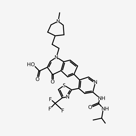 CC(C)NC(=O)Nc1cc(-c2nc(C(F)(F)F)cs2)c(-c2ccc3c(c2)c(=O)c(C(=O)O)cn3CCC2CCN(C)CC2)cn1